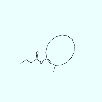 CCCC(=O)O/C1=C/C(C)CCCCCCCCCCCC1